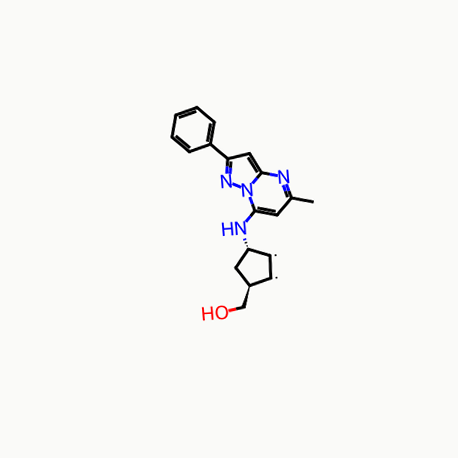 Cc1cc(N[C@@H]2[CH][CH][C@@H](CO)C2)n2nc(-c3ccccc3)cc2n1